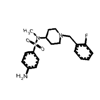 CN(C1CCN(Cc2ccccc2F)CC1)S(=O)(=O)c1ccc(N)cc1